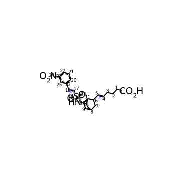 O=C(O)CCC/C=C/C1CC2CCC1C(NS(=O)(=O)/C=C/c1cccc([N+](=O)[O-])c1)C2